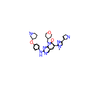 CN1CCCC(Oc2ccc(Nc3ncc4cc(-c5nc(C6=CCN=C6)cn5C)c(=O)n(CC5CCOCC5)c4n3)cc2)C1